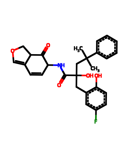 CC(C)(CC(O)(Cc1cc(F)ccc1O)C(=O)NC1C=CC2=COCC2C1=O)c1ccccc1